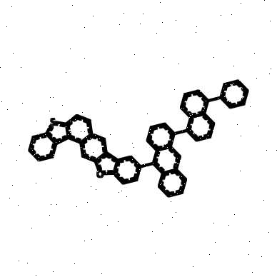 c1ccc(-c2cccc3c(-c4cccc5c(-c6ccc7oc8cc9c(ccc%10sc%11ccccc%11c%109)cc8c7c6)c6ccccc6cc45)cccc23)cc1